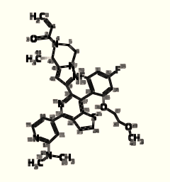 C=CC(=O)N1CCn2nc(-c3nc(-c4ccnc(N(C)C)c4)c4ccsc4c3-c3c(F)cc(F)cc3OCCOC)cc2[C@@H]1C